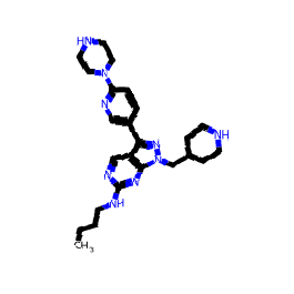 CCCCNc1ncc2c(-c3ccc(N4CCNCC4)nc3)nn(CC3CCNCC3)c2n1